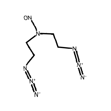 [N-]=[N+]=NCCN(CCN=[N+]=[N-])N=O